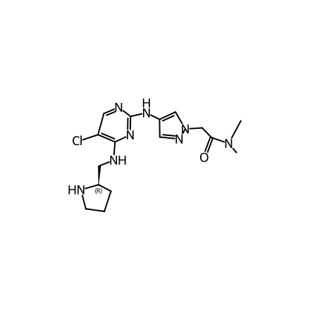 CN(C)C(=O)Cn1cc(Nc2ncc(Cl)c(NC[C@H]3CCCN3)n2)cn1